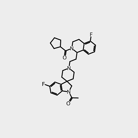 CC(=O)N1CC2(CCN(CCC3c4cccc(F)c4CCN3C(=O)C3CCCC3)CC2)c2cc(F)ccc21